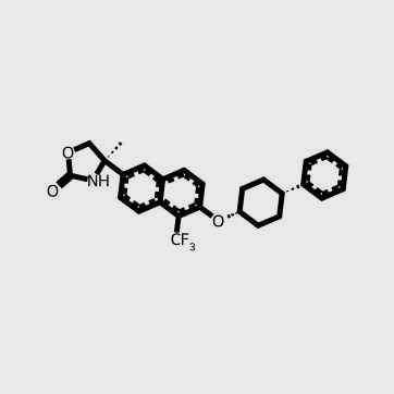 C[C@@]1(c2ccc3c(C(F)(F)F)c(O[C@H]4CC[C@@H](c5ccccc5)CC4)ccc3c2)COC(=O)N1